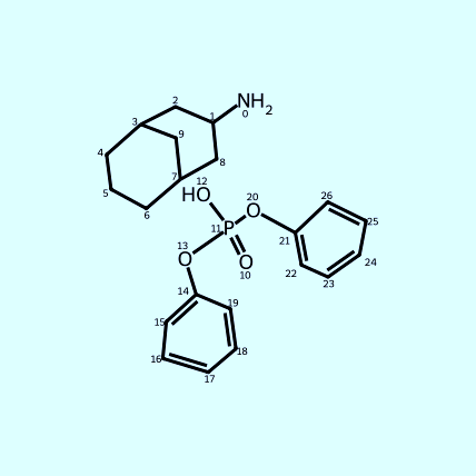 NC1CC2CCCC(C1)C2.O=P(O)(Oc1ccccc1)Oc1ccccc1